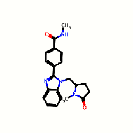 CNC(=O)c1ccc(-c2nc3ccccc3n2CC2CCC(=O)N2C)cc1